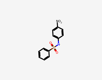 O=[N+]([O-])c1ccc([N]S(=O)(=O)c2ccccc2)cc1